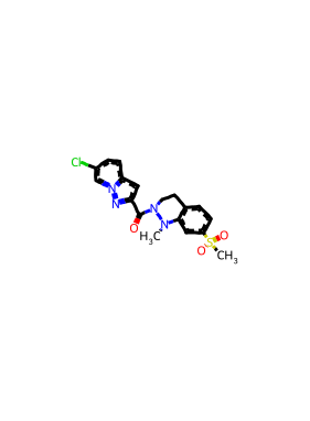 CN1c2cc(S(C)(=O)=O)ccc2CCN1C(=O)c1cc2ccc(Cl)cn2n1